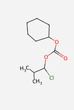 CC(C)C(Cl)OC(=O)OC1CCCCC1